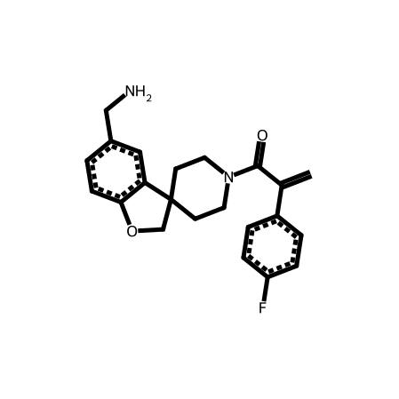 C=C(C(=O)N1CCC2(CC1)COc1ccc(CN)cc12)c1ccc(F)cc1